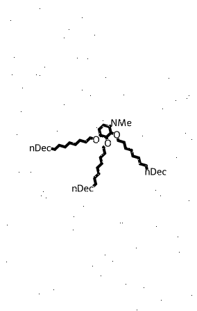 CCCCCCCCCCCCCCCCCCOC1CCC(NC)C(OCCCCCCCCCCCCCCCCCC)C1OCCCCCCCCCCCCCCCCCC